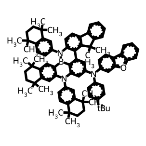 CC(C)(C)c1ccc(N(c2cc3c4c(c2)N(c2ccc5c(c2)C(C)(C)CCC5(C)C)c2cc5c(cc2B4N(c2ccc4c(c2)C(C)(C)CCC4(C)C)c2ccc4c(c2-3)C(C)(C)c2ccccc2-4)C(C)(C)CCC5(C)C)c2ccc3c(c2)oc2ccccc23)cc1